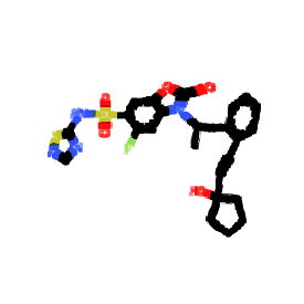 C[C@H](c1ccccc1C#CC1(O)CCCC1)n1c(=O)oc2cc(S(=O)(=O)Nc3ncns3)c(F)cc21